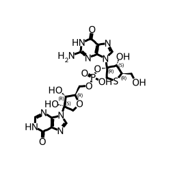 Nc1nc2c(ncn2[C@]2(OP(=O)(O)OC[C@H]3OC[C@@](O)(n4cnc5c(=O)[nH]cnc54)[C@@H]3O)CS[C@H](CO)[C@H]2O)c(=O)[nH]1